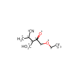 CC(C#N)C(C(=O)O)C(=O)COCC(F)(F)F